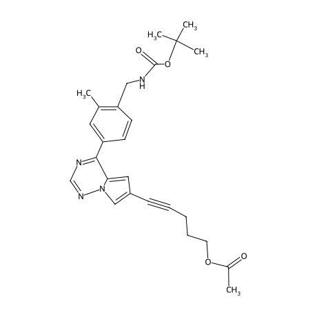 CC(=O)OCCCC#Cc1cc2c(-c3ccc(CNC(=O)OC(C)(C)C)c(C)c3)ncnn2c1